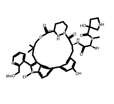 CCn1c(-c2cccnc2COC)c2c3cc(ccc31)-c1cc(O)cc(c1)C[C@H](NC(=O)[C@H](C(C)C)N(C)C(=O)C1(O)CCNC1)C(=O)N1CCC[C@@](O)(N1)C(=O)OCC(C)(C)C2